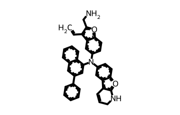 C=Cc1c(CN)oc2ccc(N(c3ccc4oc5c(c4c3)C=CCN5)c3cc(-c4ccccc4)cc4ccccc34)cc12